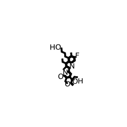 C=C1OCc2c(cc3n(c2=O)Cc2c-3nc3cc(F)c(C)c(CCCCO)c3c2CC)[C@@]1(O)CC